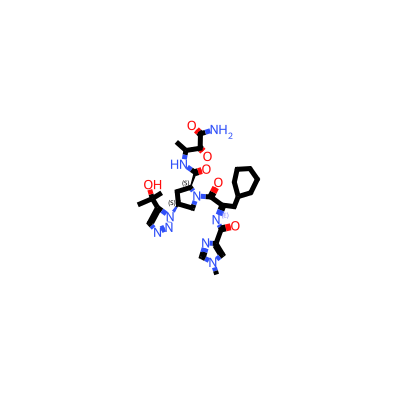 CC(NC(=O)[C@@H]1C[C@H](n2nncc2C(C)(C)O)CN1C(=O)/C(CC1CCCCC1)=N/C(=O)c1cn(C)cn1)C(=O)C(N)=O